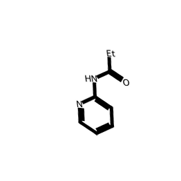 CCC(=O)Nc1cc[c]cn1